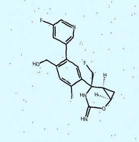 N=C1N[C@](CF)(c2cc(-c3cncc(F)c3)c(CO)cc2F)[C@H]2C[C@H]2O1